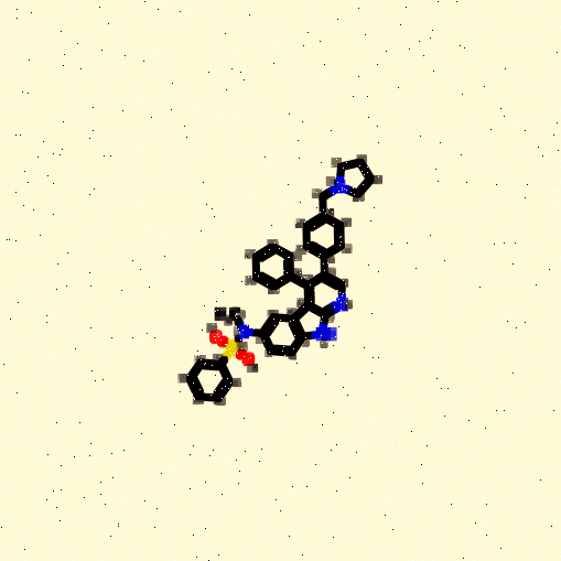 CN(c1ccc2[nH]c3ncc(-c4ccc(CN5CCCC5)cc4)c(-c4ccccc4)c3c2c1)S(=O)(=O)c1ccccc1